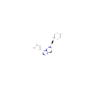 CCC1CCC(O)(C#Cc2nc(N)c3ncn(C4OC(C(=O)O)C(O)C4O)c3n2)CC1